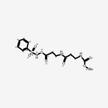 CC(C)(C)OC(=O)NCCC(=O)NCCC(=O)ONS(=O)(=O)c1ccccc1